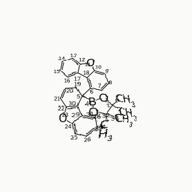 CC1(C)OB(C2(c3cccc4oc5ccccc5c34)CC=Cc3oc4ccccc4c32)OC1(C)C